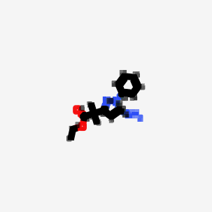 CCOC(=O)C(C)(C)c1cc(N)n(-c2ccccc2)n1